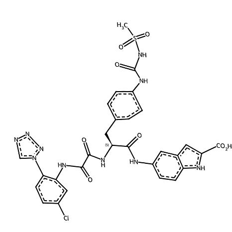 CS(=O)(=O)NC(=O)Nc1ccc(C[C@H](NC(=O)C(=O)Nc2cc(Cl)ccc2-n2cnnn2)C(=O)Nc2ccc3[nH]c(C(=O)O)cc3c2)cc1